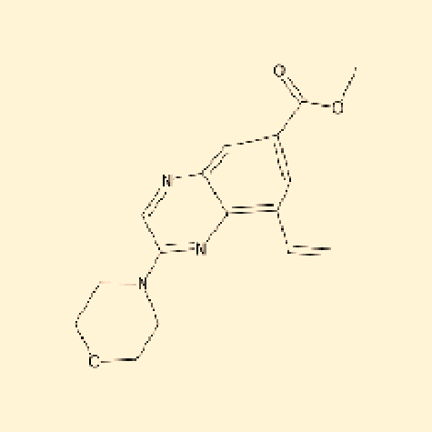 C=Cc1cc(C(=O)OC)cc2ncc(N3CCOCC3)nc12